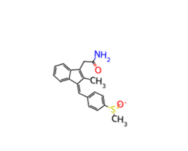 CC1=C(CC(N)=O)c2ccccc2C1=Cc1ccc([S+](C)[O-])cc1